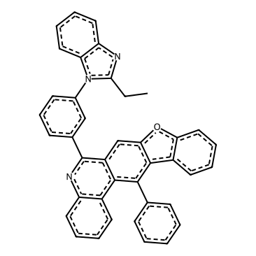 CCc1nc2ccccc2n1-c1cccc(-c2nc3ccccc3c3c(-c4ccccc4)c4c(cc23)oc2ccccc24)c1